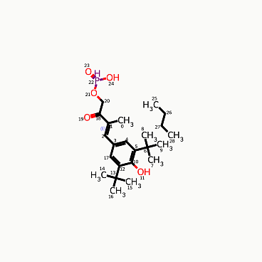 C/C(=C\c1cc(C(C)(C)C)c(O)c(C(C)(C)C)c1)C(=O)CO[PH](=O)O.CCCC